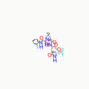 O=C(Nc1ccccc1F)C(=O)N1CC2(CC2)C[C@@H]1C(=O)NC(C[C@@H]1CCNC1=O)C(=O)COC(F)(F)F